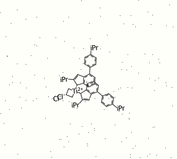 CC(C)C1=Cc2c(-c3ccc(C(C)C)cc3)cccc2[CH]1[Ti+2]1([CH]2C(C(C)C)=Cc3c(-c4ccc(C(C)C)cc4)cccc32)[CH2]C[CH2]1.[Cl-].[Cl-]